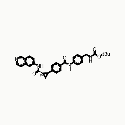 CC(C)(C)OC(=O)NCc1ccc(NC(=O)c2ccc(C3C[C@H]3C(=O)Nc3ccc4cnccc4c3)cc2)cc1